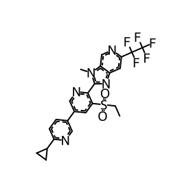 CCS(=O)(=O)c1cc(-c2ccc(C3CC3)nc2)cnc1-c1nc2cc(C(F)(F)C(F)(F)F)ncc2n1C